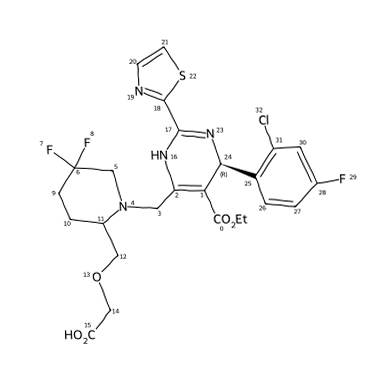 CCOC(=O)C1=C(CN2CC(F)(F)CCC2COCC(=O)O)NC(c2nccs2)=N[C@H]1c1ccc(F)cc1Cl